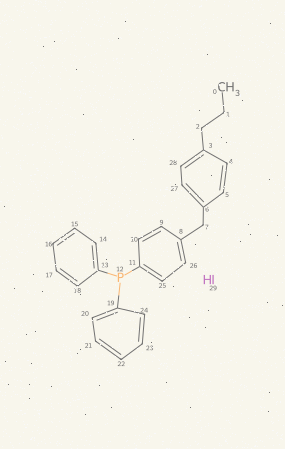 CCCc1ccc(Cc2ccc(P(c3ccccc3)c3ccccc3)cc2)cc1.I